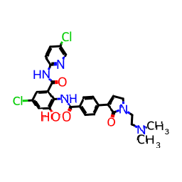 CN(C)CCN1CC=C(c2ccc(C(=O)Nc3c(O)cc(Cl)cc3C(=O)Nc3ccc(Cl)cn3)cc2)C1=O